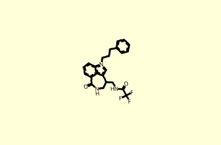 O=C1NCC(CNC(=O)C(F)(F)F)c2cn(CCCc3ccccc3)c3cccc1c23